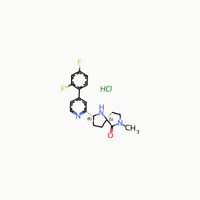 CN1CC[C@@]2(CC[C@H](c3cc(-c4ccc(F)cc4F)ccn3)N2)C1=O.Cl